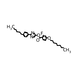 CCCCCCCCCOc1ccc(C(=O)Oc2cnc(-c3ccc(CCCCCC)cc3)nc2)c(F)c1